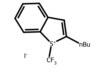 CCCCc1cc2ccccc2[s+]1C(F)(F)F.[I-]